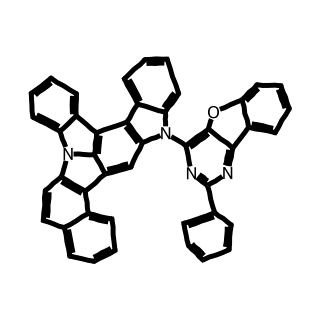 c1ccc(-c2nc(-n3c4ccccc4c4c5c6ccccc6n6c7ccc8ccccc8c7c(cc43)c56)c3oc4ccccc4c3n2)cc1